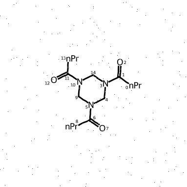 CCCC(=O)N1CN(C(=O)CCC)CN(C(=O)CCC)C1